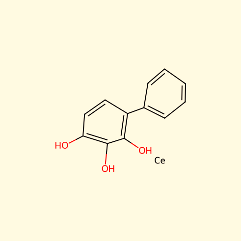 Oc1ccc(-c2ccccc2)c(O)c1O.[Ce]